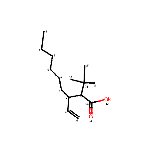 C=CC(CCCCCC)C(C(=O)O)C(C)(C)C